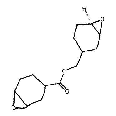 O=C(OCC1CC[C@H]2OC2C1)C1CCC2OC2C1